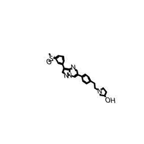 C[S+]([O-])c1cccc(-c2cnn3cc(-c4ccc(CCN5CCC(O)C5)cc4)cnc23)c1